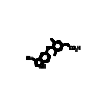 CCC(C)c1c[nH]c2ccc(Oc3c(C)cc(CC(=O)O)cc3C)cc12